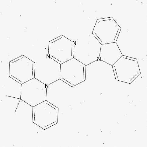 CC1(C)c2ccccc2N(c2ccc(-n3c4ccccc4c4ccccc43)c3nccnc23)c2ccccc21